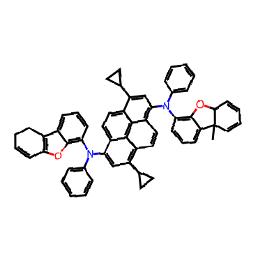 CC12C=CC=CC1Oc1c(N(c3ccccc3)c3cc(C4CC4)c4ccc5c(N(c6ccccc6)c6cccc7c8c(oc67)C=CCC8)cc(C6CC6)c6ccc3c4c65)cccc12